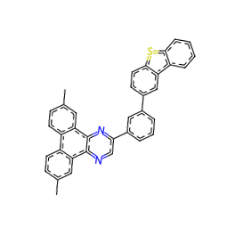 Cc1ccc2c3ccc(C)cc3c3nc(-c4cccc(-c5ccc6sc7ccccc7c6c5)c4)cnc3c2c1